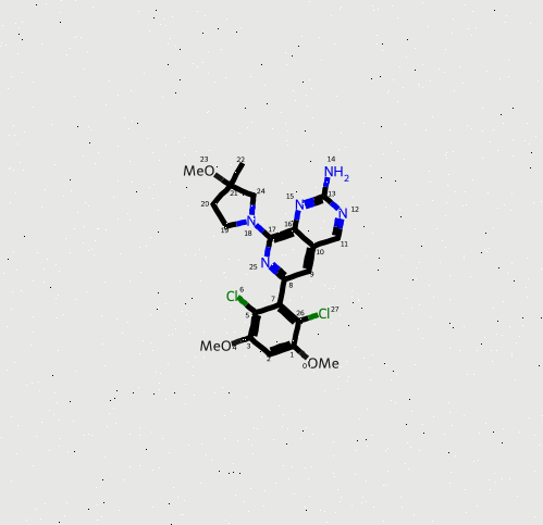 COc1cc(OC)c(Cl)c(-c2cc3cnc(N)nc3c(N3CCC(C)(OC)C3)n2)c1Cl